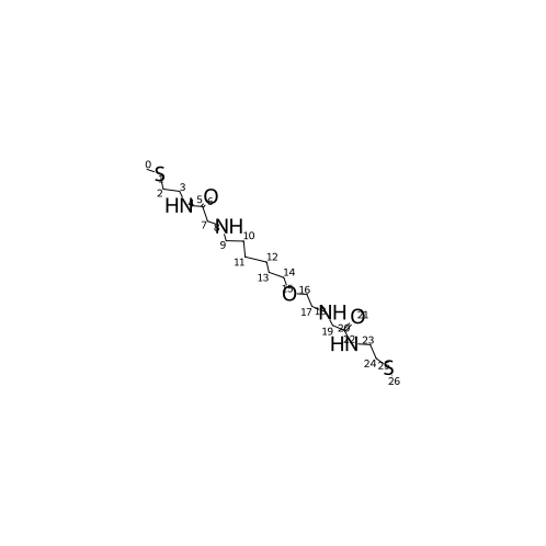 CSCCNC(=O)CNCCCCCCOCCNCC(=O)NCCSC